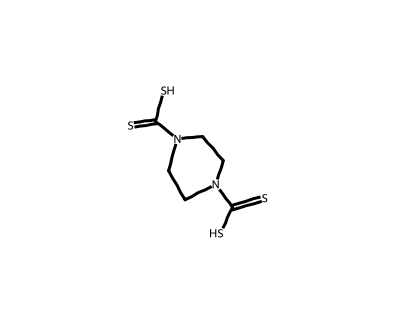 S=C(S)N1CCN(C(=S)S)CC1